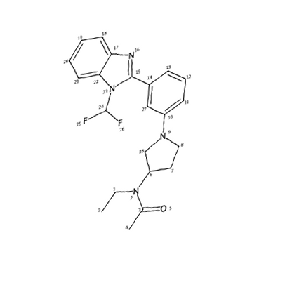 CCN(C(C)=O)C1CCN(c2cccc(-c3nc4ccccc4n3C(F)F)c2)C1